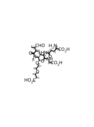 CC(C=O)C(SCC(NC(=O)CCC(N)C(=O)O)C(=O)NCC(=O)O)C(=O)N(C)CCOCCOCCC(=O)O